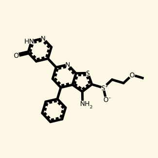 COCC[S+]([O-])c1sc2nc(-c3cn[nH]c(=O)c3)cc(-c3ccccc3)c2c1N